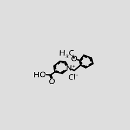 COc1ccccc1C[n+]1cccc(C(=O)O)c1.[Cl-]